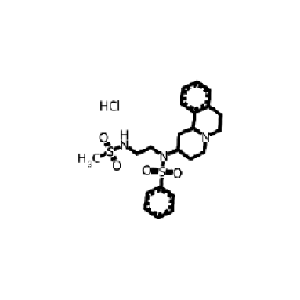 CS(=O)(=O)NCCN(C1CCN2CCc3ccccc3C2C1)S(=O)(=O)c1ccccc1.Cl